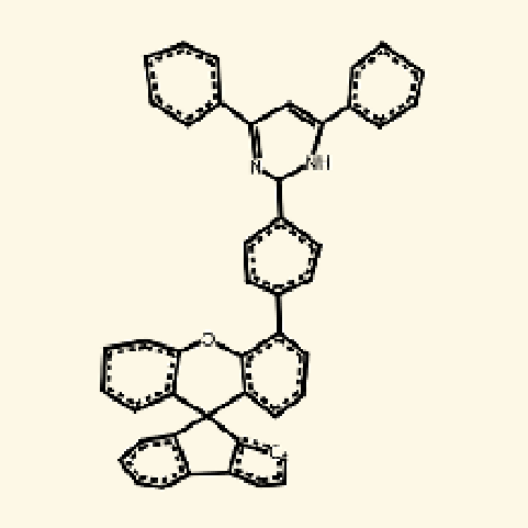 C1=C(c2ccccc2)NC(c2ccc(-c3cccc4c3Oc3ccccc3C43c4ccccc4-c4ccccc43)cc2)N=C1c1ccccc1